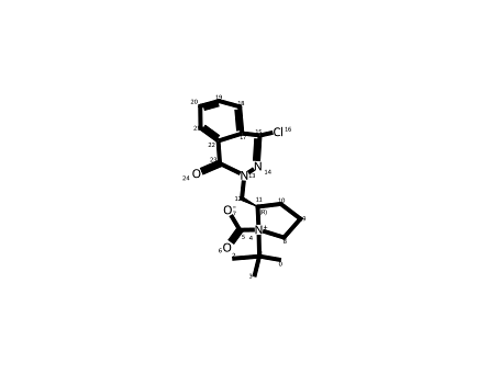 CC(C)(C)[N+]1(C(=O)[O-])CCC[C@@H]1Cn1nc(Cl)c2ccccc2c1=O